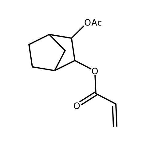 C=CC(=O)OC1C2CCC(C2)C1OC(C)=O